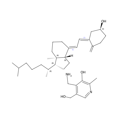 C=C1CC[C@H](O)C/C1=C/C=C1\CCC[C@]2(C)[C@@H]([C@H](C)CCCC(C)C)CC[C@@H]12.Cc1ncc(CO)c(CN)c1O